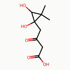 CC1(C)C(O)C1(O)CC(=O)CC(=O)O